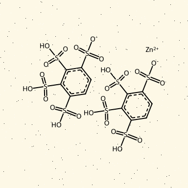 O=S(=O)([O-])c1ccc(S(=O)(=O)O)c(S(=O)(=O)O)c1S(=O)(=O)O.O=S(=O)([O-])c1ccc(S(=O)(=O)O)c(S(=O)(=O)O)c1S(=O)(=O)O.[Zn+2]